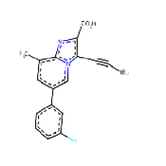 CC(C)(C)C#Cc1c(C(=O)O)nc2c(C(F)(F)F)cc(-c3cccc(F)c3)cn12